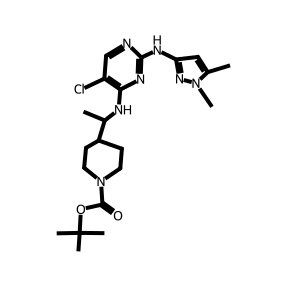 Cc1cc(Nc2ncc(Cl)c(NC(C)C3CCN(C(=O)OC(C)(C)C)CC3)n2)nn1C